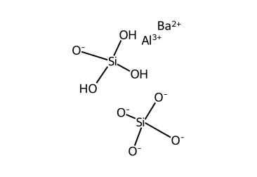 [Al+3].[Ba+2].[O-][Si](O)(O)O.[O-][Si]([O-])([O-])[O-]